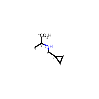 CC(NCC1CC1)C(=O)O